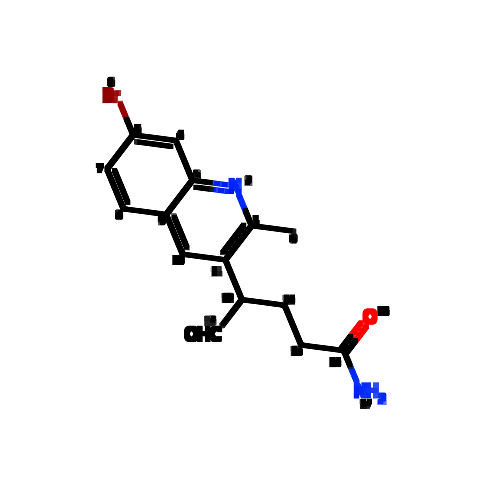 Cc1nc2cc(Br)ccc2cc1C(C=O)CCC(N)=O